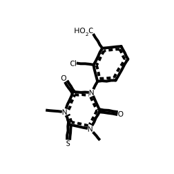 Cn1c(=S)n(C)c(=O)n(-c2cccc(C(=O)O)c2Cl)c1=O